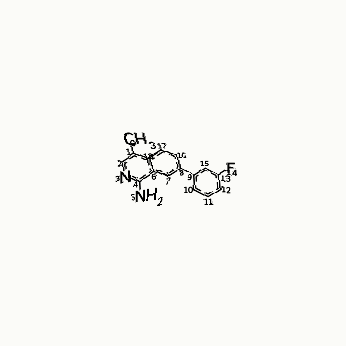 Cc1cnc(N)c2cc(-c3cccc(F)c3)ccc12